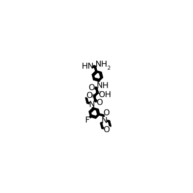 N=C(N)c1ccc(NC(=O)[C@H](O)[C@H]2OCCN(c3cc(F)cc(C(=O)N4CCOCC4)c3)C2=O)cc1